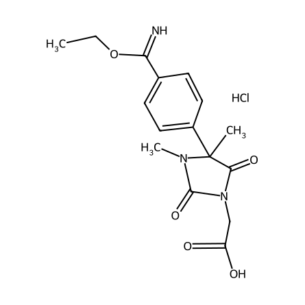 CCOC(=N)c1ccc(C2(C)C(=O)N(CC(=O)O)C(=O)N2C)cc1.Cl